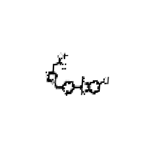 Cn1c(-c2ccc(Cn3cnc(CC(=O)O)c3)nc2)nc2ccc(Cl)cc21